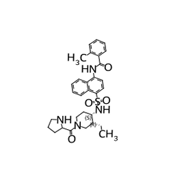 CC[C@@H]1CN(C(=O)C2CCCN2)CC[C@@H]1NS(=O)(=O)c1ccc(NC(=O)c2ccccc2C)c2ccccc12